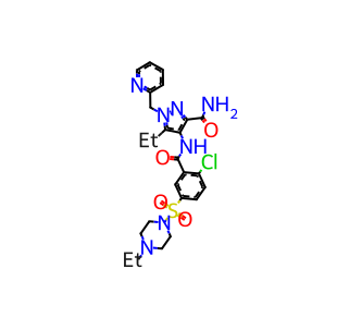 CCc1c(NC(=O)c2cc(S(=O)(=O)N3CCN(CC)CC3)ccc2Cl)c(C(N)=O)nn1Cc1ccccn1